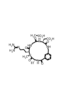 CC[C@H]1NC(=O)c2cccc(c2)CNC(=O)[C@H](CC(=O)O)NC(=O)CNC(=O)[C@H](CCCN=C(N)N)N(C)C1=O.CS(=O)(=O)O